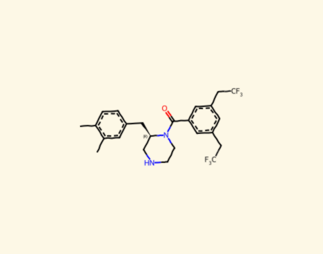 Cc1ccc(C[C@@H]2CNCCN2C(=O)c2cc(CC(F)(F)F)cc(CC(F)(F)F)c2)cc1C